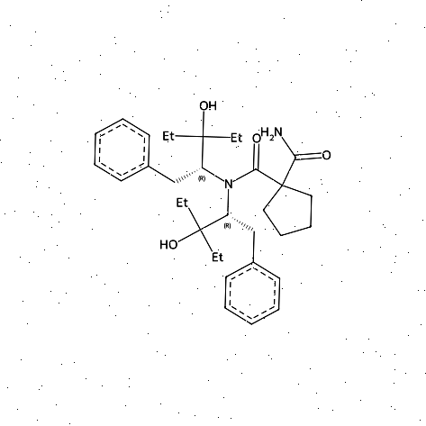 CCC(O)(CC)[C@@H](Cc1ccccc1)N(C(=O)C1(C(N)=O)CCCC1)[C@H](Cc1ccccc1)C(O)(CC)CC